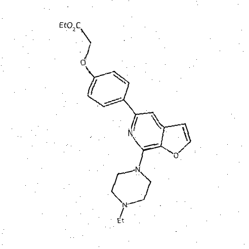 CCOC(=O)COc1ccc(-c2cc3ccoc3c(N3CCN(CC)CC3)n2)cc1